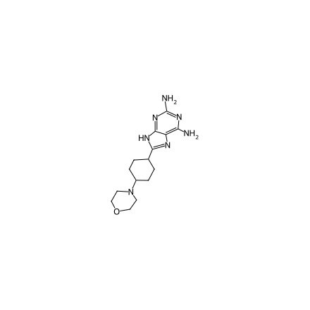 Nc1nc(N)c2nc(C3CCC(N4CCOCC4)CC3)[nH]c2n1